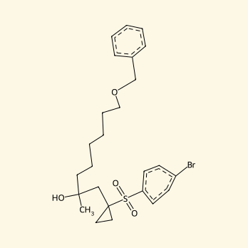 CC(O)(CCCCCCOCc1ccccc1)CC1(S(=O)(=O)c2ccc(Br)cc2)CC1